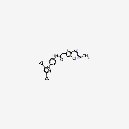 C/C=C\C=C/c1nc(CC(=O)Nc2ccc(-n3nc(C4CC4)cc3C3CC3)cc2)cn1Cl